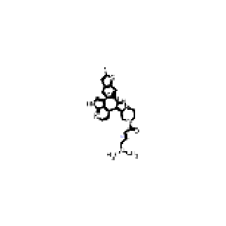 Cc1c[nH]c2nccc(-c3c(-c4ccc5cc(F)sc5c4)nn4c3CN(C(=O)/C=C/CN(C)C)CC4)c12